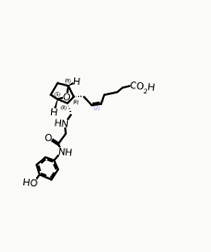 O=C(O)CCC/C=C\C[C@@H]1[C@H](CNCC(=O)Nc2ccc(O)cc2)[C@@H]2CC[C@H]1O2